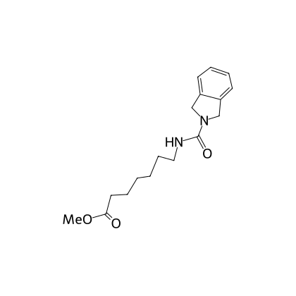 COC(=O)CCCCCCNC(=O)N1Cc2ccccc2C1